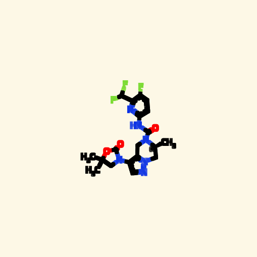 C[C@H]1Cn2ncc(N3CC(C)(C)OC3=O)c2CN1C(=O)Nc1ccc(F)c(C(F)F)n1